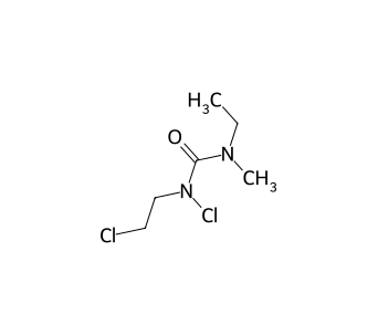 CCN(C)C(=O)N(Cl)CCCl